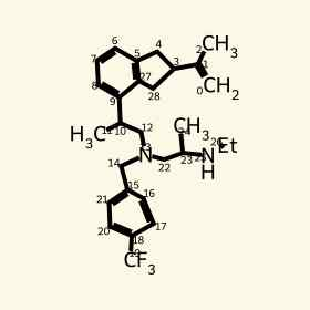 C=C(C)C1Cc2cccc(C(C)CN(Cc3ccc(C(F)(F)F)cc3)CC(C)NCC)c2C1